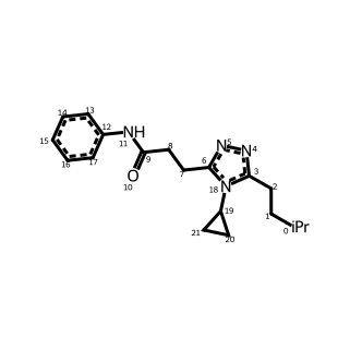 CC(C)CCc1nnc(CCC(=O)Nc2ccccc2)n1C1CC1